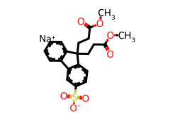 COC(=O)CCC1(CCC(=O)OC)c2ccccc2-c2cc(S(=O)(=O)[O-])ccc21.[Na+]